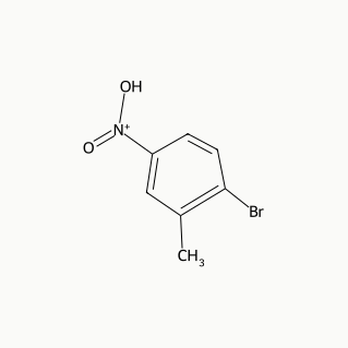 Cc1cc([N+](=O)O)ccc1Br